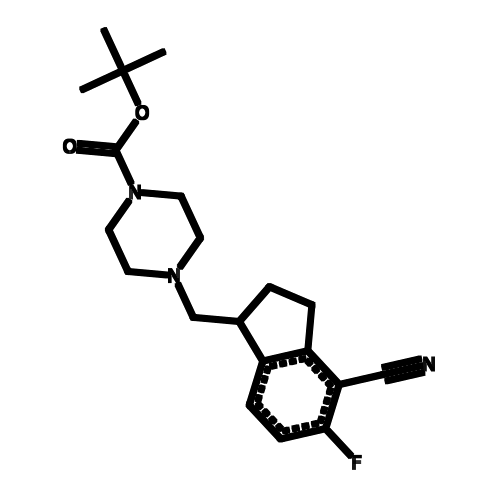 CC(C)(C)OC(=O)N1CCN(CC2CCc3c2ccc(F)c3C#N)CC1